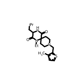 CCN1C(=O)C(CC(C)C)NC(=O)C12CCN(Cc1sccc1C)CC2